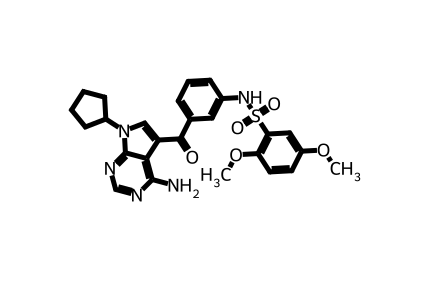 COc1ccc(OC)c(S(=O)(=O)Nc2cccc(C(=O)c3cn(C4CCCC4)c4ncnc(N)c34)c2)c1